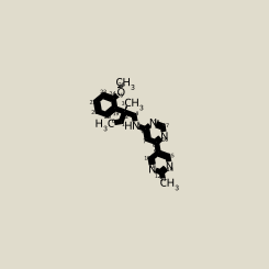 CC[C@](C)(CNc1cc(-c2cnc(C)nc2)ncn1)c1ccccc1OC